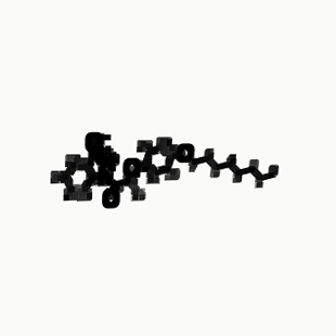 CCCCCCCCOc1ccc(OC(C)C(=O)n2n[n+]([O-])c3ccccc32)cc1